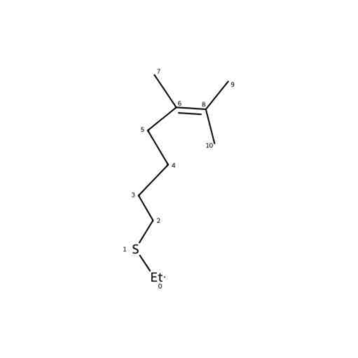 C[CH]SCCCCC(C)=C(C)C